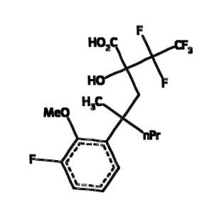 CCCC(C)(CC(O)(C(=O)O)C(F)(F)C(F)(F)F)c1cccc(F)c1OC